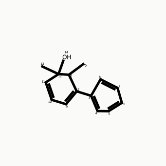 CC1C(c2ccccc2)=CC=CC1(C)O